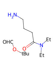 CC(C)(C)OC=O.CCN(CC)C(=O)CCCN